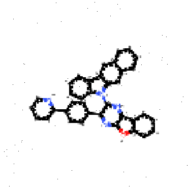 c1ccc(-c2ccc(-c3nc4oc5ccccc5c4nc3-n3c4ccccc4c4cc5ccccc5cc43)cc2)nc1